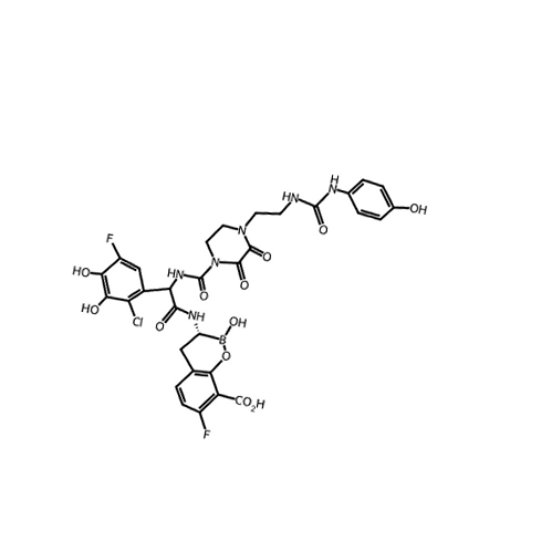 O=C(NCCN1CCN(C(=O)NC(C(=O)N[C@H]2Cc3ccc(F)c(C(=O)O)c3OB2O)c2cc(F)c(O)c(O)c2Cl)C(=O)C1=O)Nc1ccc(O)cc1